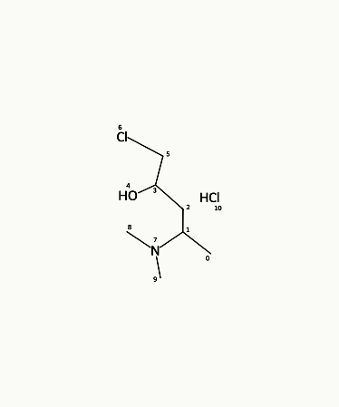 CC(CC(O)CCl)N(C)C.Cl